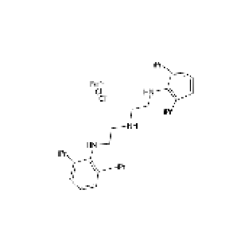 CC(C)c1cccc(C(C)C)c1NCCNCCNc1c(C(C)C)cccc1C(C)C.[Cl-].[Cl-].[Fe+2]